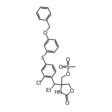 CCC(c1ccc(Sc2cccc(OCc3ccccc3)c2)cc1Cl)C1(COS(C)(=O)=O)COC(=O)N1